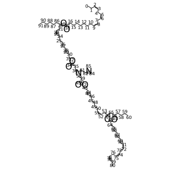 CC/C=C\C/C=C\C/C=C\CCCCCCCC(=O)OC(C/C=C\CCCCCCCCOC(=O)CCN(CCC(=O)OCCCCCCCC/C=C\CC(CCCCCC)OC(=O)CCCCCCC/C=C\C/C=C\C/C=C\CC)CCN(C)C)CCCCCC